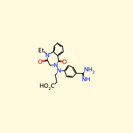 CCN1C(=O)CN(N(CCC(=O)O)c2ccc(C(=N)N)cc2)C(=O)c2ccccc21